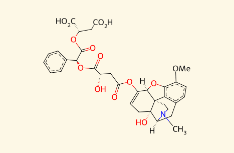 COc1ccc2c3c1O[C@@H]1C(OC(=O)C[C@H](O)C(=O)O[C@H](C(=O)O[C@@H](CC(=O)O)C(=O)O)c4ccccc4)=CC[C@]4(O)[C@H](C2)N(C)CC[C@@]314